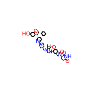 O=C1CCC(N2Cc3cc4c(cc3C2=O)OC[C@@H]2CN(CC3CCN(c5ccc([C@@H]6c7ccc(O)cc7OC[C@@H]6c6ccccc6)cn5)CC3)CCN42)C(=O)N1